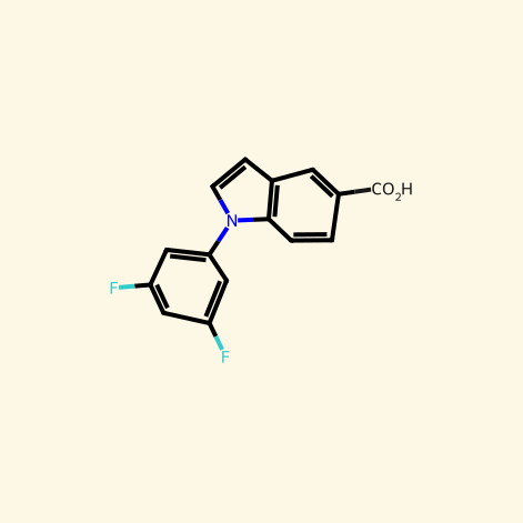 O=C(O)c1ccc2c(ccn2-c2cc(F)cc(F)c2)c1